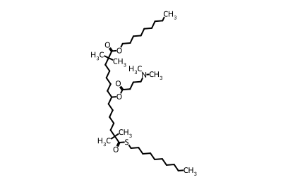 CCCCCCCCCCSC(=O)C(C)(C)CCCCCC(CCCCCC(C)(C)C(=O)OCCCCCCCCC)OC(=O)CCCN(C)C